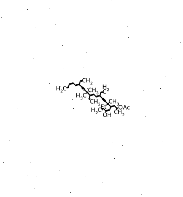 C=C/C=C\C=C(\C#CC(C)(C)/C(C=C)=C/C=C(/C#CC(C)(CC)C(/C=C(/O)C=C)=C/C(=C)OC(C)=O)C=C)C=C